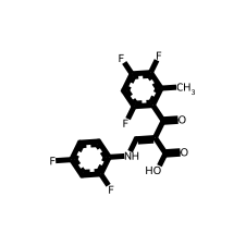 Cc1c(F)c(F)cc(F)c1C(=O)C(=CNc1ccc(F)cc1F)C(=O)O